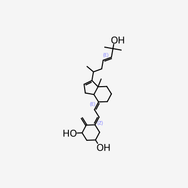 C=C1/C(=C\C=C2/CCCC3(C)C(C(C)C/C=C/C(C)(C)O)=CCC23)CC(O)CC1O